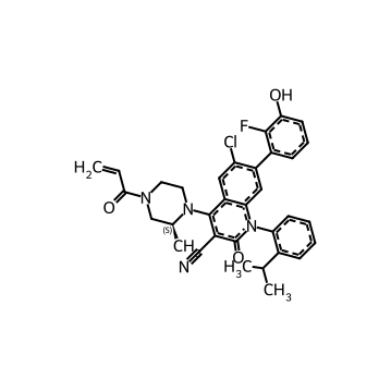 C=CC(=O)N1CCN(c2c(C#N)c(=O)n(-c3ccccc3C(C)C)c3cc(-c4cccc(O)c4F)c(Cl)cc23)[C@@H](C)C1